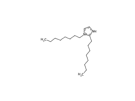 CCCCCCCCc1[nH]cc[n+]1CCCCCCCC